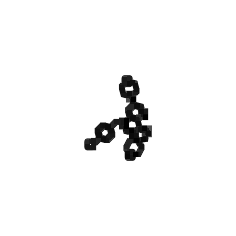 Clc1ccc(CN2CN3C(=NCC34CCOCC4)c3ncc(N4CCOCC4)cc32)cc1